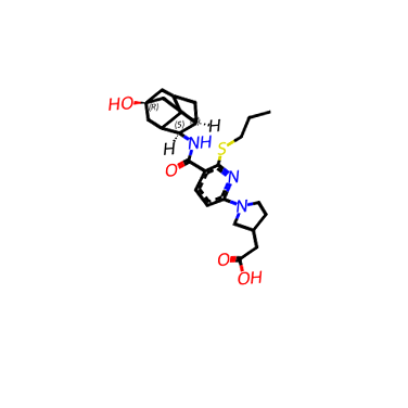 CCCSc1nc(N2CCC(CC(=O)O)C2)ccc1C(=O)N[C@H]1C2CC3C[C@@H]1C[C@@](O)(C3)C2